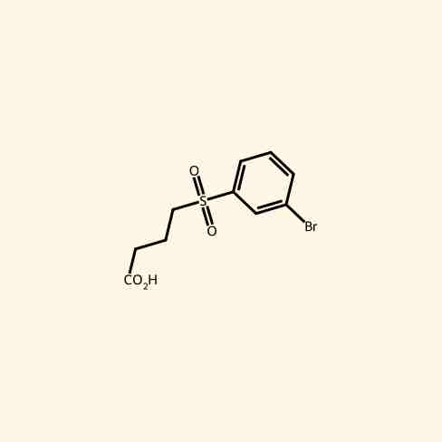 O=C(O)CCCS(=O)(=O)c1cccc(Br)c1